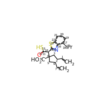 C=CCCC(CCC=C)(C(=O)O)C(C(=O)S)c1nc2c(C(C)C)cccc2s1